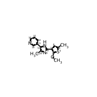 COc1sc(C)cc1-c1nc(C)c(-c2cccnc2)[nH]1